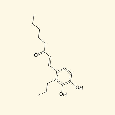 CCCCCC(=O)C=Cc1ccc(O)c(O)c1CCC